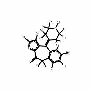 [2H]c1sc2c(c1[2H])/C(=C1/C([2H])([2H])C([2H])([2H])N([2H])C([2H])(C)C1([2H])[2H])c1c([2H])c([2H])c([2H])c([2H])c1C([2H])([2H])C2=O